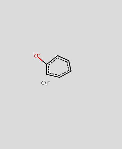 [Cu+].[O-]c1ccccc1